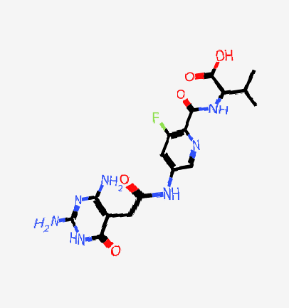 CC(C)C(NC(=O)c1ncc(NC(=O)Cc2c(N)nc(N)[nH]c2=O)cc1F)C(=O)O